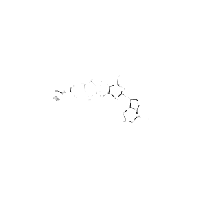 Cc1nc(-c2c[nH]c3c(F)cc(F)cc23)nc(N[C@H]2CCC[C@@H](NC(=O)C3=CN=N3)C2)c1F